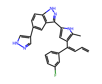 C=C/C=C(/c1cccc(F)c1)c1cc(-c2n[nH]c3ccc(-c4cn[nH]c4)cc23)[nH]c1C